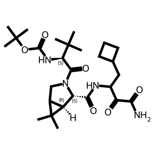 CC(C)(C)OC(=O)N[C@H](C(=O)N1CC2[C@@H]([C@H]1C(=O)NC(CC1CCC1)C(=O)C(N)=O)C2(C)C)C(C)(C)C